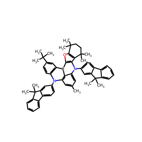 Cc1cc2c3c(c1)N(c1ccc4c(c1)C(C)(C)c1ccccc1-4)c1c(oc4c1C(C)(C)CCC4(C)C)B3c1cc(C(C)(C)C)ccc1N2c1ccc2c(c1)C(C)(C)c1ccccc1-2